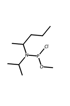 CCCC(C)N(C(C)C)P(Cl)OC